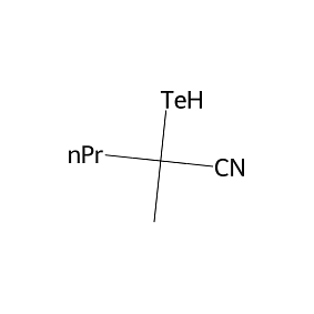 CCCC(C)([TeH])C#N